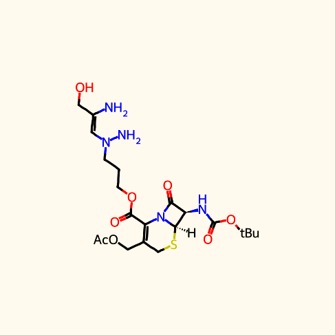 CC(=O)OCC1=C(C(=O)OCCCN(N)/C=C(\N)CO)N2C(=O)[C@@H](NC(=O)OC(C)(C)C)[C@H]2SC1